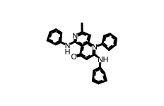 Cc1cc2c(c(Nc3ccccc3)n1)c(=O)cc(Nc1ccccc1)n2-c1ccccc1